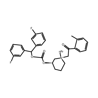 CCC[N+]1(CC(=O)c2ccccc2C)CCC[C@@H](OC(=O)OC(c2cccc(F)c2)c2cccc(F)c2)C1